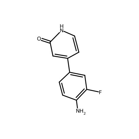 Nc1ccc(-c2cc[nH]c(=O)c2)cc1F